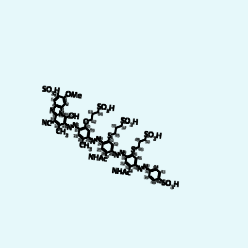 COc1cc2c(cc1S(=O)(=O)O)nc1c(C#N)c(C)c(N=Nc3cc(C)c(N=Nc4cc(NC(C)=O)c(N=Nc5cc(NC(C)=O)c(N=Nc6ccc(S(=O)(=O)O)cc6)cc5SCCCS(=O)(=O)O)cc4SCCCS(=O)(=O)O)cc3OCCCS(=O)(=O)O)c(O)n12